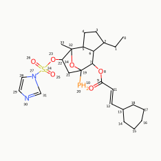 CCC1CCC2C1C(OC(=O)/C=C/C1CCCCC1)C1(P)CC(OS(=O)(=O)n3ccnc3)C2(C)O1